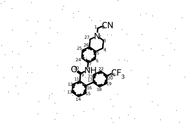 N#CCN1CCc2cc(NC(=O)c3ccccc3-c3ccc(C(F)(F)F)cc3)ccc2C1